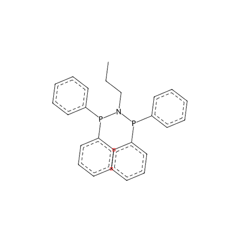 CCCN(P(c1ccccc1)c1ccccc1)P(c1ccccc1)c1ccccc1